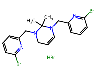 Br.CC1(C)N(Cc2cccc(Br)n2)C=CCN1Cc1cccc(Br)n1